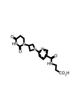 O=C(O)CCNC(=O)c1ccc(N2CC(N3CCC(=O)NC3=O)C2)nc1